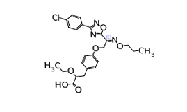 CCCO/N=C(\COc1ccc(CC(OCC)C(=O)O)cc1)c1nc(-c2ccc(Cl)cc2)no1